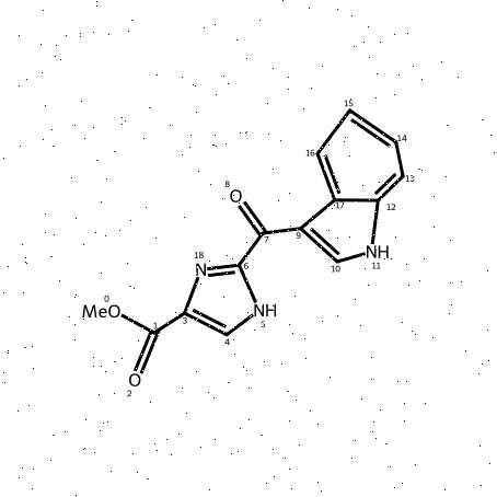 COC(=O)c1c[nH]c(C(=O)c2c[nH]c3ccccc23)n1